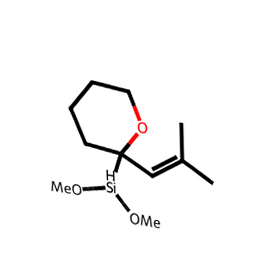 CO[SiH](OC)C1(C=C(C)C)CCCCO1